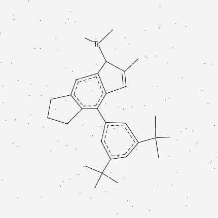 CC1=Cc2c(cc3c(c2-c2cc(C(C)(C)C)cc(C(C)(C)C)c2)CCC3)[CH]1[Ti]([CH3])[CH3]